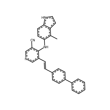 Cc1c(Nc2c(C#N)cncc2C=Cc2ccc(-c3ccccc3)cc2)ccc2[nH]ccc12